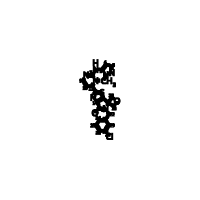 Cn1nccc1Nc1nccc(-c2nc3c(s2)C2(COC2)N(Cc2cccc(Cl)c2)C3=O)n1